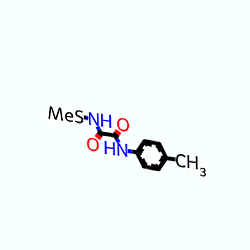 CSNC(=O)C(=O)Nc1ccc(C)cc1